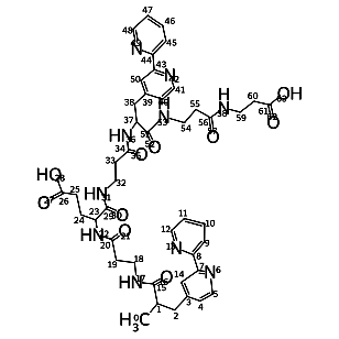 CC(Cc1ccnc(-c2ccccn2)c1)C(=O)NCCC(=O)NC(CCC(=O)O)C(=O)NCCC(=O)NC(Cc1ccnc(-c2ccccn2)c1)C(=O)NCCC(=O)NCCC(=O)O